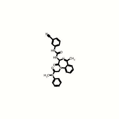 CC1=NC(NC(=O)Nc2cccc(C#N)c2)C(=O)N(CC(=O)N(C)c2ccccc2)c2ccccc21